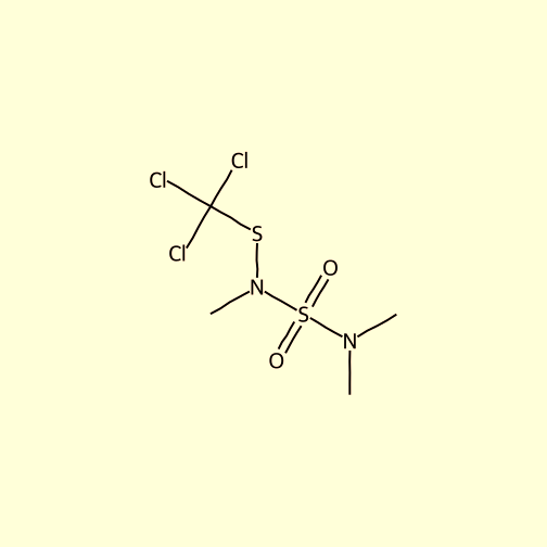 CN(C)S(=O)(=O)N(C)SC(Cl)(Cl)Cl